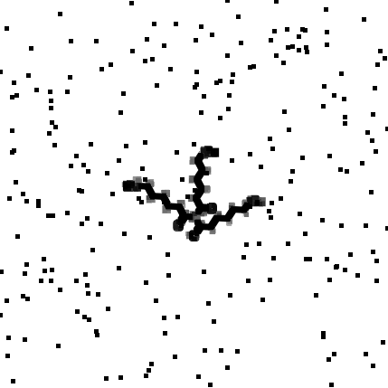 CC(C)(C)CCCCC[C](=O)[Ti]([C](=O)CCCCCC(C)(C)C)[C](=O)CCCCCC(C)(C)C